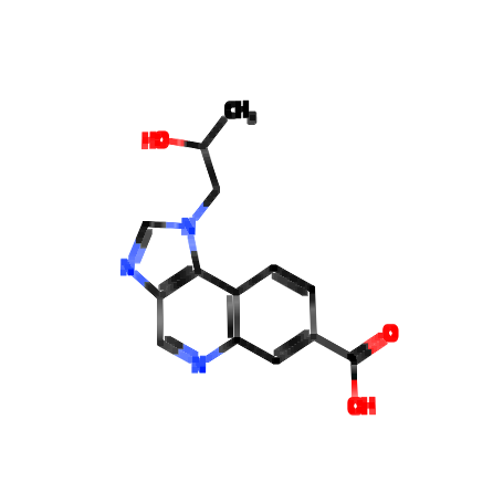 CC(O)Cn1cnc2cnc3cc(C(=O)O)ccc3c21